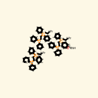 CC(C)CC[P+](CCP(c1ccccc1)c1ccccc1)(c1ccccc1)c1ccccc1.CC(C)CC[P+](CCP(c1ccccc1)c1ccccc1)(c1ccccc1)c1ccccc1.CC(C)CC[P+](CCP(c1ccccc1)c1ccccc1)(c1ccccc1)c1ccccc1.[C]=O.[RhH]